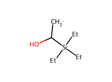 [CH2]C(O)[Si](CC)(CC)CC